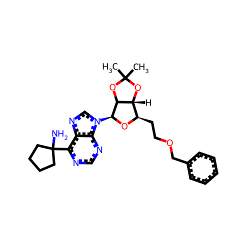 CC1(C)OC2[C@H](n3cnc4c(C5(N)CCCC5)ncnc43)O[C@H](CCOCc3ccccc3)[C@H]2O1